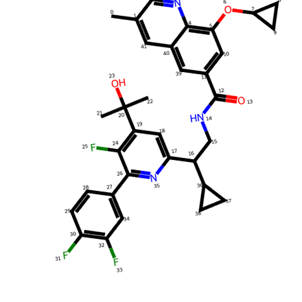 Cc1cnc2c(OC3CC3)cc(C(=O)NCC(c3cc(C(C)(C)O)c(F)c(-c4ccc(F)c(F)c4)n3)C3CC3)cc2c1